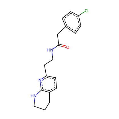 O=C(Cc1ccc(Cl)cc1)NCCc1ccc2c(n1)NCCC2